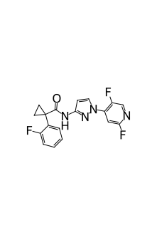 O=C(Nc1ccn(-c2cc(F)ncc2F)n1)C1(c2ccccc2F)CC1